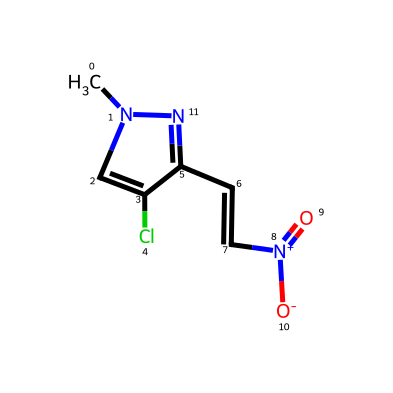 Cn1cc(Cl)c(C=C[N+](=O)[O-])n1